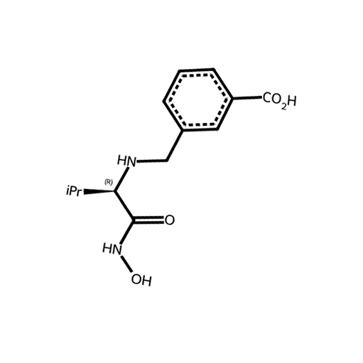 CC(C)[C@@H](NCc1cccc(C(=O)O)c1)C(=O)NO